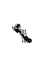 CN(C)S(=O)(=O)Nc1cc(C(O)CNCCOc2ccc3c(c2)[nH]c2ccccc23)ccc1F